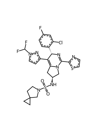 O=S(=O)(N[C@H]1CC2=C(c3ccn(C(F)F)n3)[C@H](c3ccc(F)cc3Cl)N=C(c3nccs3)N2C1)N1CCC2(CC2)C1